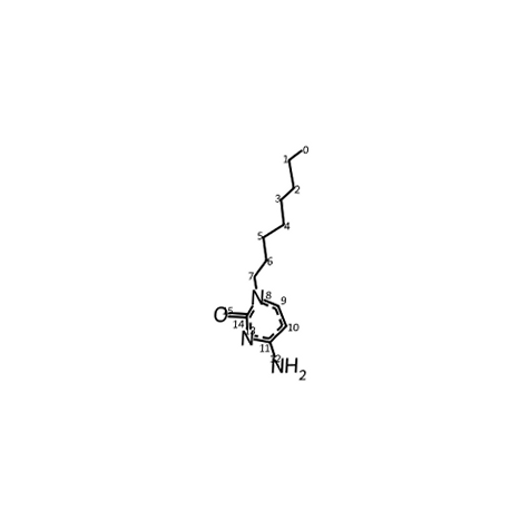 CCCCCCCCn1ccc(N)nc1=O